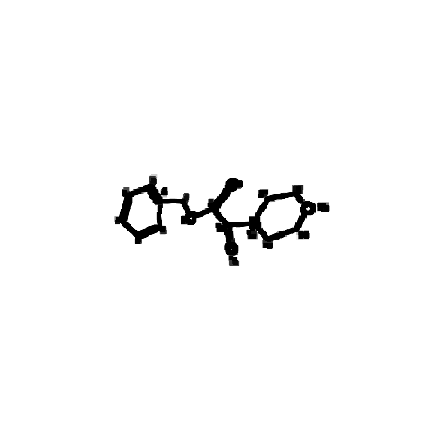 O=C(OCc1ccccc1)C(=O)N1CCOCC1